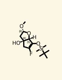 CO[C@H]1C[C@@]2(O)CC(F)=C(O[Si](C)(C)C(C)(C)C)[C@H]2O1